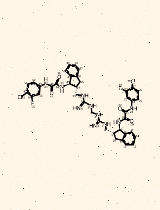 N=C(NCNC(=N)NC[C@H]1Cc2ccccc2[C@@H]1NC(=O)C(=O)Nc1ccc(Cl)c(F)c1)NC[C@H]1Cc2ccccc2[C@@H]1NC(=O)C(=O)Nc1ccc(Cl)c(F)c1